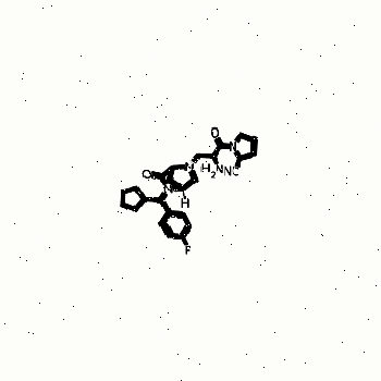 N#CC1CCCN1C(=O)C(N)CN1C[C@@H]2CC1C(=O)N2C(c1ccc(F)cc1)C1CCCC1